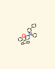 c1ccc(-c2cccc(N(c3ccccc3)c3ccc4c(c3)Oc3ccccc3C43c4ccccc4-c4ccccc43)c2)cc1